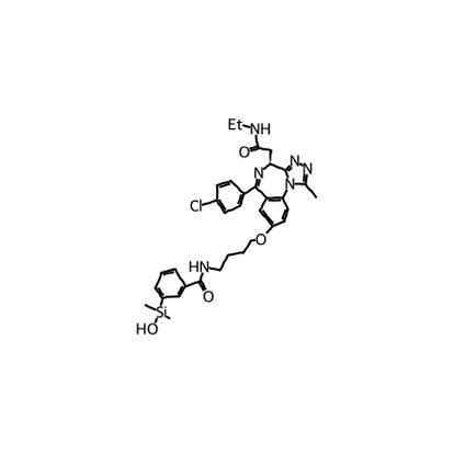 CCNC(=O)C[C@@H]1N=C(c2ccc(Cl)cc2)c2cc(OCCCCNC(=O)c3cccc([Si](C)(C)O)c3)ccc2-n2c(C)nnc21